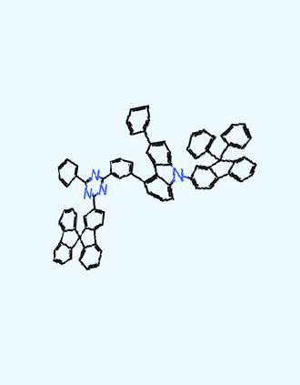 c1ccc(-c2ccc3c(c2)c2c(-c4cccc(-c5nc(-c6ccccc6)nc(-c6ccc7c(c6)C6(c8ccccc8-c8ccccc86)c6ccccc6-7)n5)c4)cccc2n3-c2ccc3c(c2)C(c2ccccc2)(c2ccccc2)c2ccccc2-3)cc1